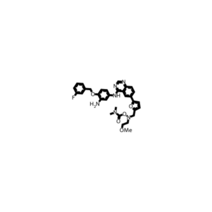 COCCN(Cc1ccc(-c2ccc3ncnc(Nc4ccc(OCc5cccc(F)c5)c(N)c4)c3c2)o1)OC(=O)N(C)C